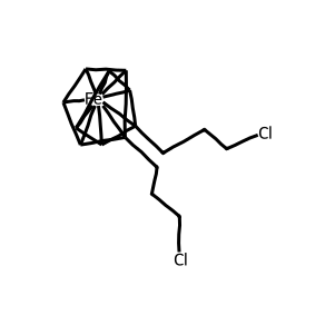 ClCCC[C]12[CH]3[CH]4[CH]5[CH]1[Fe]45321678[CH]2[CH]1[CH]6[C]7(CCCCl)[CH]28